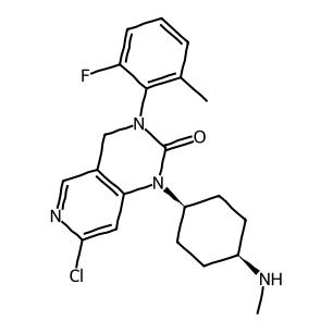 CN[C@H]1CC[C@@H](N2C(=O)N(c3c(C)cccc3F)Cc3cnc(Cl)cc32)CC1